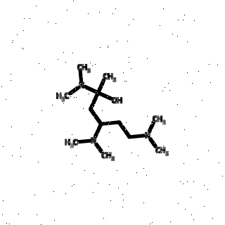 CN(C)CCC(CC(C)(O)N(C)C)N(C)C